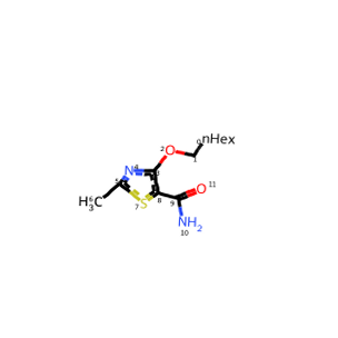 CCCCCCCOc1nc(C)sc1C(N)=O